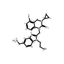 CC(C)CCn1c(CN2C(=O)N(C3CC3)Cc3c(F)cccc32)nc2cc(CN)ccc21